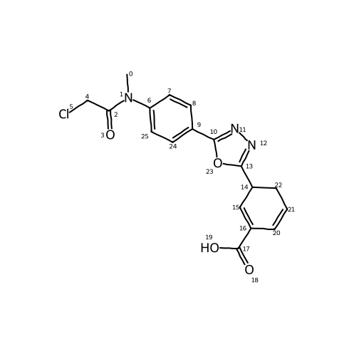 CN(C(=O)CCl)c1ccc(-c2nnc(C3C=C(C(=O)O)C=CC3)o2)cc1